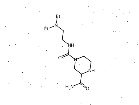 CCN(CC)CCNC(=O)N1CCNC(C(N)=O)C1